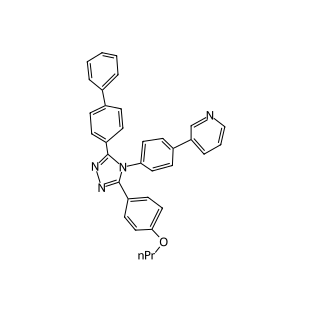 CCCOc1ccc(-c2nnc(-c3ccc(-c4ccccc4)cc3)n2-c2ccc(-c3cccnc3)cc2)cc1